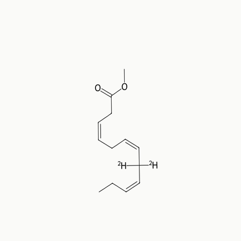 [2H]C([2H])(/C=C\CC)/C=C\C/C=C\CC(=O)OC